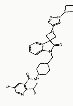 O=C(NC1CCC(CN2C(=O)C3(CN(c4cnn(C5CCC5)c4)C3)c3ccccc32)CC1)c1cc(Cl)cnc1C(F)F